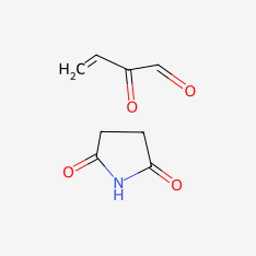 C=CC(=O)C=O.O=C1CCC(=O)N1